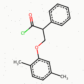 Cc1ccc(C)c(OCC(C(=O)Cl)c2ccccc2)c1